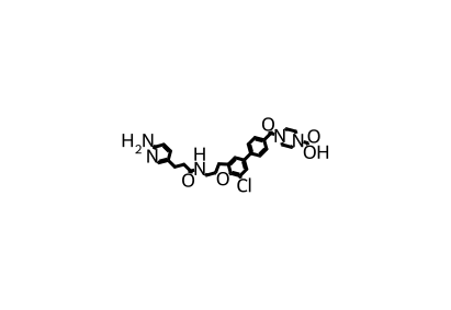 Nc1ccc(CCC(=O)NCC2Cc3cc(-c4ccc(C(=O)N5CCN(C(=O)O)CC5)cc4)cc(Cl)c3O2)cn1